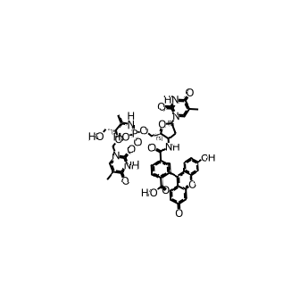 Cc1cn(CO[C@H](CO)C(C)NP(=O)(O)OC[C@H]2O[C@@H](n3cc(C)c(=O)[nH]c3=O)CC2NC(=O)c2ccc(C(=O)O)c(-c3c4ccc(=O)cc-4oc4cc(O)ccc34)c2)c(=O)[nH]c1=O